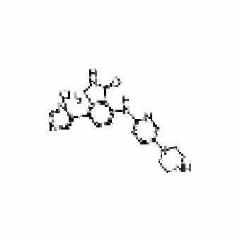 Cn1cncc1-c1ccc(Nc2ccc(N3CCNCC3)cn2)c2c1CNC2=O